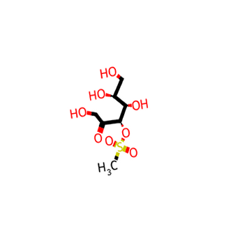 CS(=O)(=O)O[C@H](C(=O)CO)[C@H](O)[C@@H](O)CO